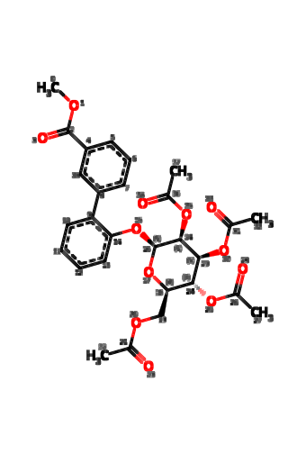 COC(=O)c1cccc(-c2ccccc2O[C@@H]2O[C@H](COC(C)=O)[C@@H](OC(C)=O)[C@H](OC(C)=O)[C@@H]2OC(C)=O)c1